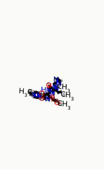 CCCc1nn(Cc2nccn2C)c2c(=O)[nH]c(-c3cc(S(=O)(=O)N4CCN(CC)CC4)cnc3OCCOC)nc12